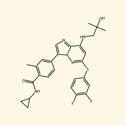 Cc1cc(-c2cnc3c(NCC(C)(C)O)cc(Sc4ccc(F)c(F)c4)nn23)ccc1C(=O)NC1CC1